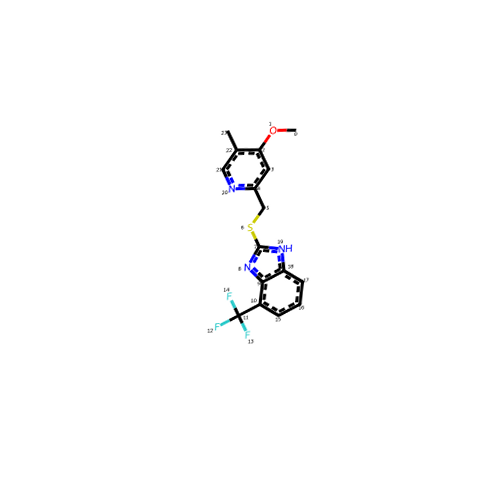 COc1cc(CSc2nc3c(C(F)(F)F)cccc3[nH]2)ncc1C